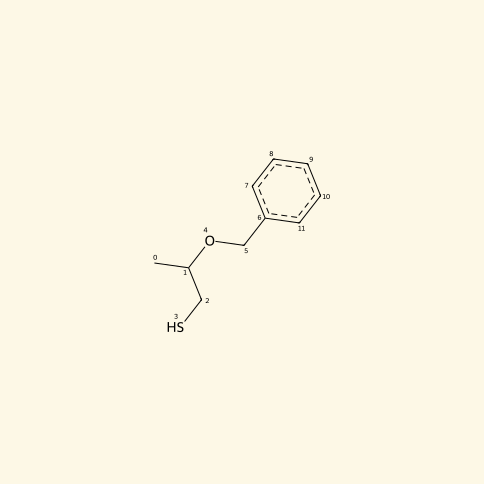 CC(CS)OCc1ccccc1